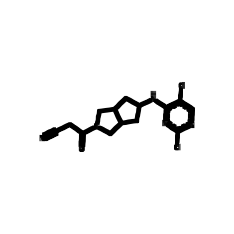 N#CCC(=O)N1CC2CC(Nc3nc(Cl)ncc3Cl)CC2C1